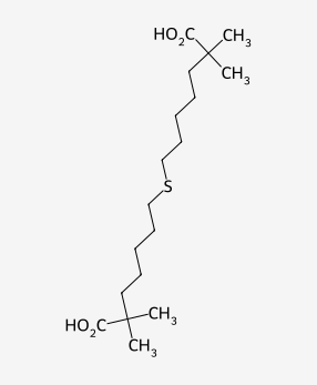 CC(C)(CCCCCSCCCCCC(C)(C)C(=O)O)C(=O)O